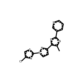 Cc1nc(-c2cccnc2)sc1-c1ccn(-c2nc(Cl)cs2)n1